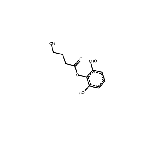 O=Cc1cccc(O)c1OC(=O)CCCO